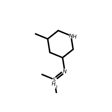 CC1CNCC(N=[SH2](C)C)C1